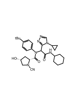 CC(C)(C)c1ccc(N(C(=O)[C@H]2C[C@@H](O)CN2C#N)C(C(=O)NC2CCCCC2)c2nncn2C2CC2)cc1